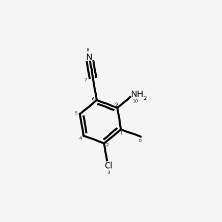 Cc1c(Cl)ccc(C#N)c1N